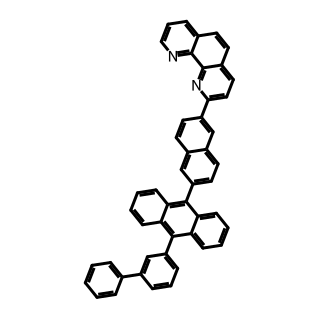 c1ccc(-c2cccc(-c3c4ccccc4c(-c4ccc5cc(-c6ccc7ccc8cccnc8c7n6)ccc5c4)c4ccccc34)c2)cc1